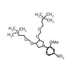 COc1cc([N+](=O)[O-])ccc1N1CC(OCOCC[Si](C)(C)C)C(OCOCC[Si](C)(C)C)C1